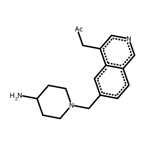 CC(=O)Cc1cncc2ccc(CN3CCC(N)CC3)cc12